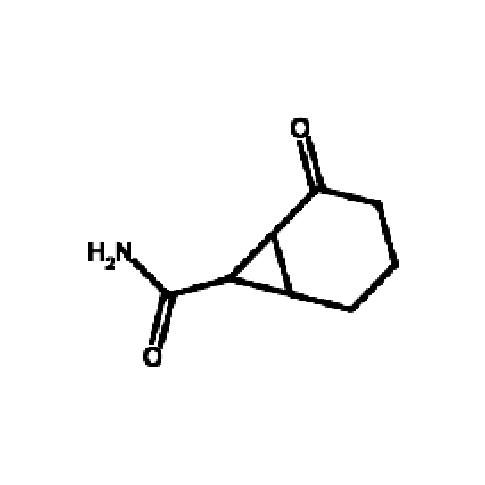 NC(=O)C1C2CCCC(=O)C21